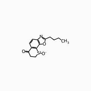 CCCCc1nc2ccc3c(c2o1)[S+]([O-])CCC3=O